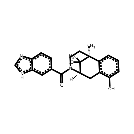 CC1(C)[C@H]2Cc3c(O)cccc3[C@]1(C)CCN2C(=O)c1ccc2nc[nH]c2c1